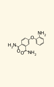 NC(=O)c1ccc(Oc2ccccc2N)cc1C(N)=O